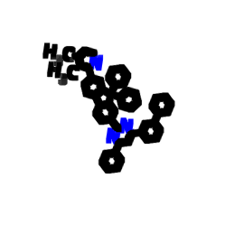 Cc1ccnc(-c2ccc3c(c2)C(c2ccccc2)(c2ccccc2)c2cc(-c4nc(-c5ccccc5)cc(-c5cccc(-c6ccccc6)c5)n4)ccc2-3)c1C